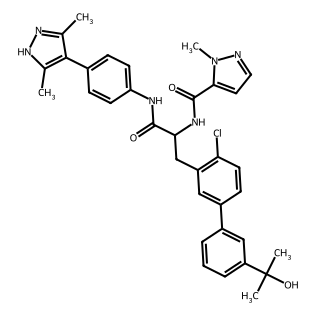 Cc1n[nH]c(C)c1-c1ccc(NC(=O)C(Cc2cc(-c3cccc(C(C)(C)O)c3)ccc2Cl)NC(=O)c2ccnn2C)cc1